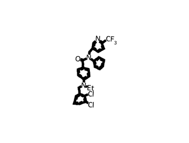 CCN(Cc1cccc(Cl)c1Cl)c1ccc(C(=O)N(Cc2ccc(C(F)(F)F)nc2)c2ccccc2)cc1